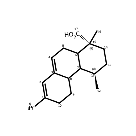 CC(C)C1=CC2=CCC3C(C2CC1)[C@H](C)CC[C@@]3(C)C(=O)O